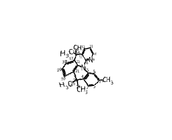 Cc1ccc2c(c1)N1c3ncccc3C(C)(C)c3cccc(c31)C2(C)C